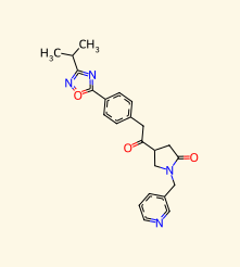 CC(C)c1noc(-c2ccc(CC(=O)C3CC(=O)N(Cc4cccnc4)C3)cc2)n1